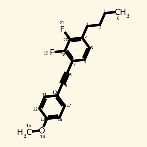 CCCCc1ccc(C#Cc2ccc(OC)cc2)c(F)c1F